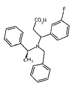 C[C@@H](c1ccccc1)N(Cc1ccccc1)C(CC(=O)O)c1cccc(F)c1